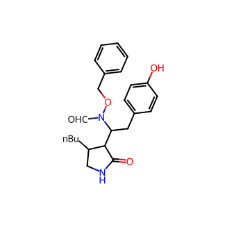 CCCCC1CNC(=O)C1C(Cc1ccc(O)cc1)N(C=O)OCc1ccccc1